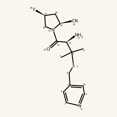 CC(C)(SCc1ccncc1)[C@H](N)C(=O)N1C[C@@H](F)C[C@H]1C#N